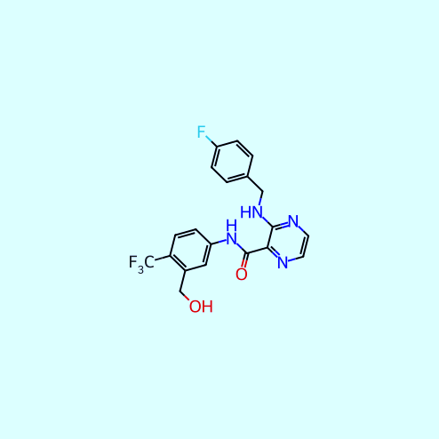 O=C(Nc1ccc(C(F)(F)F)c(CO)c1)c1nccnc1NCc1ccc(F)cc1